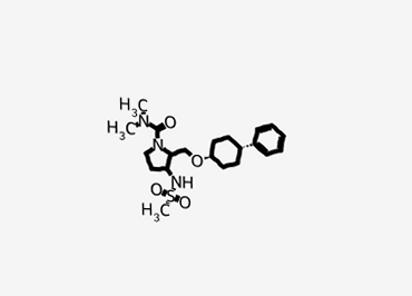 CN(C)C(=O)N1CCC(NS(C)(=O)=O)C1CO[C@H]1CC[C@@H](c2ccccc2)CC1